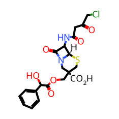 O=C(CCl)CC(=O)NC1C(=O)N2CC(COC(=O)C(O)c3ccccc3)(C(=O)O)CS[C@H]12